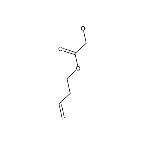 C=CCCOC(=O)C[O]